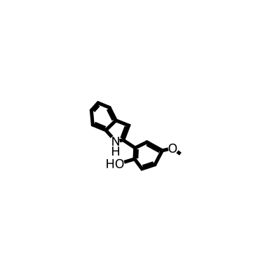 COc1ccc(O)c(-c2cc3ccccc3[nH]2)c1